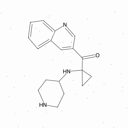 O=C(c1cnc2ccccc2c1)C1(NC2CCNCC2)CC1